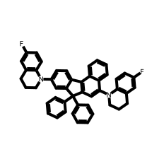 Fc1ccc2c(c1)CCCN2c1ccc2c(c1)C(c1ccccc1)(c1ccccc1)c1cc(N3CCCc4cc(F)ccc43)c3ccccc3c1-2